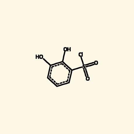 O=S(=O)(Cl)c1cccc(O)c1O